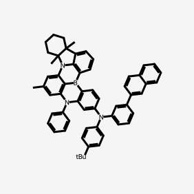 Cc1cc2c3c(c1)N1c4c(cccc4C4(C)CCCCC14C)B3c1ccc(N(c3ccc(C(C)(C)C)cc3)c3cccc(-c4ccc5ccccc5c4)c3)cc1N2c1ccccc1